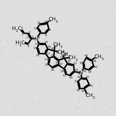 C=C/C=C(\C=C)N(c1ccc(C)cc1)c1ccc2c(c1)C(C)(C)c1c-2ccc2c1C(C)(C)c1cc(N(c3ccc(C)cc3)c3ccc(C)cc3)ccc1-2